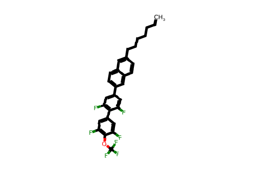 CCCCCCCc1ccc2cc(-c3cc(F)c(-c4cc(F)c(OC(F)(F)F)c(F)c4)c(F)c3)ccc2c1